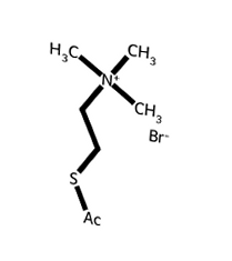 CC(=O)SCC[N+](C)(C)C.[Br-]